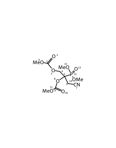 COC(=O)OCC(CC#N)(OC(=O)OC)P(=O)(OC)OC